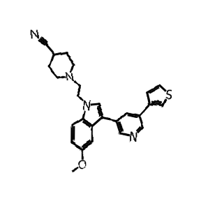 COc1ccc2c(c1)c(-c1cncc(-c3ccsc3)c1)cn2CCN1CCC(C#N)CC1